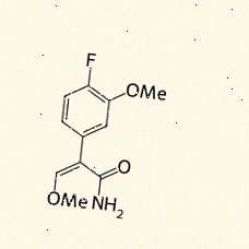 COC=C(C(N)=O)c1ccc(F)c(OC)c1